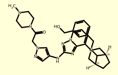 CN1CCN(C(=O)Cn2cc(Nc3nc4c(N5C[C@H]6CC[C@@H](C5)C6OCc5cccc(CO)c5)cccn4n3)cn2)CC1